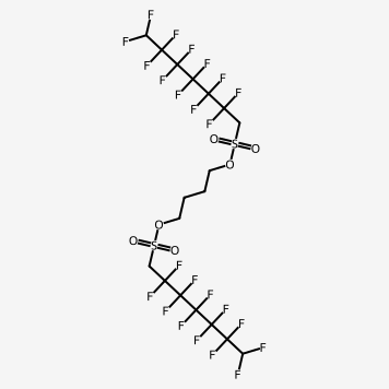 O=S(=O)(CC(F)(F)C(F)(F)C(F)(F)C(F)(F)C(F)(F)C(F)F)OCCCCOS(=O)(=O)CC(F)(F)C(F)(F)C(F)(F)C(F)(F)C(F)(F)C(F)F